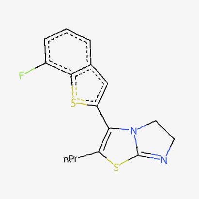 CCCC1=C(c2cc3cccc(F)c3s2)N2CCN=C2S1